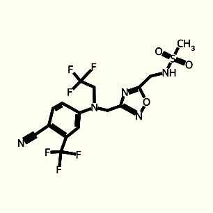 CS(=O)(=O)NCc1nc(CN(CC(F)(F)F)c2ccc(C#N)c(C(F)(F)F)c2)no1